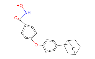 O=C(NO)c1ccc(Oc2ccc(C3CC4CCC3CC4)cc2)cc1